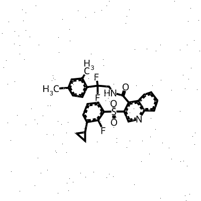 Cc1ccc(C(F)(F)CNC(=O)c2c(S(=O)(=O)c3cccc(C4CC4)c3F)cnc3ccccc23)c(C)c1